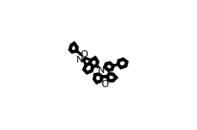 c1ccc(-c2ccc(N(c3ccc4c5c(cccc35)-c3nc(-c5ccccc5)oc3-4)c3cccc4oc5ccccc5c34)cc2)cc1